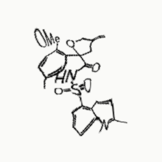 C=C1COC(C(=O)NS(=O)(=O)c2cccc3nc(C)ccc23)(c2cc(C)ccc2OC)C1